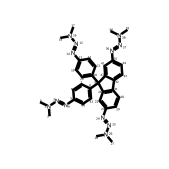 CN(C)/N=N/c1ccc(C2(c3ccc(/N=N/N(C)C)cc3)c3cc(/N=N/N(C)C)ccc3-c3ccc(/N=N/N(C)C)cc32)cc1